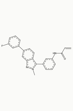 C=CC(=O)Nc1cccc(-c2c3ccc(-c4cccc(F)c4)cc3nn2C)c1